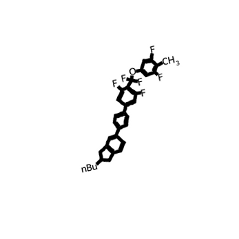 CCCCC1Cc2ccc(-c3ccc(-c4cc(F)c(C(F)(F)Oc5cc(F)c(C)c(F)c5)c(F)c4)cc3)cc2C1